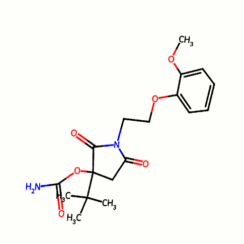 COc1ccccc1OCCN1C(=O)CC(OC(N)=O)(C(C)(C)C)C1=O